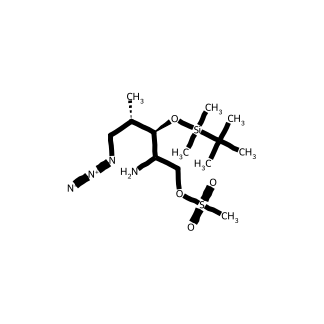 C[C@@H](CN=[N+]=[N-])[C@@H](O[Si](C)(C)C(C)(C)C)C(N)COS(C)(=O)=O